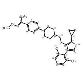 CN/C(=N\OC=O)c1ccc(N2CCC(OCc3c(-c4c(Cl)cccc4Cl)noc3C3CC3)CC2)cc1